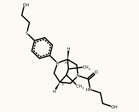 CC1C(C)[C@H]2CN(C(=O)NCCO)C[C@@H]1CN2c1ccc(SCCO)cc1